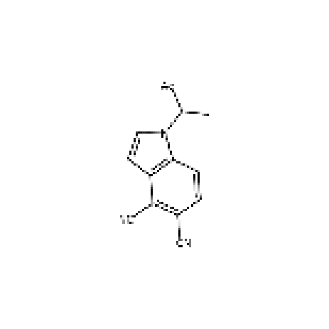 CC(=O)C(C)n1ccc2c(C#N)c(C#N)ccc21